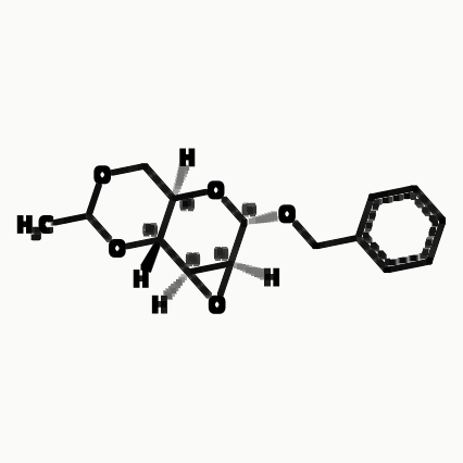 CC1OC[C@H]2O[C@H](OCc3ccccc3)[C@H]3O[C@H]3[C@@H]2O1